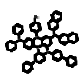 CC(C)(C)c1ccc(N2c3cc(N(c4ccccc4)c4ccccc4)ccc3B3c4cc(-c5ccccc5)ccc4N(c4ccc(-c5ccccc5)cc4)c4cc(N(c5ccc6ccccc6c5)c5ccc6ccccc6c5)cc2c43)cc1